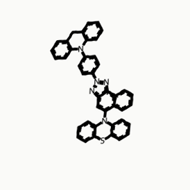 c1ccc2c(c1)Cc1ccccc1N2c1ccc(-n2nc3cc(N4c5ccccc5Sc5ccccc54)c4ccccc4c3n2)cc1